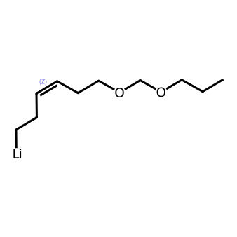 [Li][CH2]C/C=C\CCOCOCCC